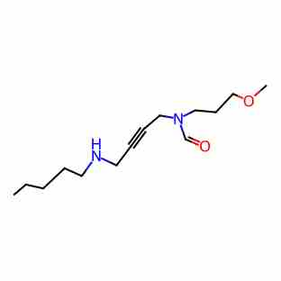 CCCCCNCC#CCN(C=O)CCCOC